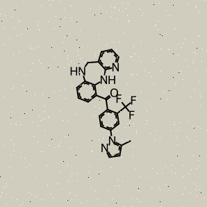 Cc1ccnn1-c1ccc(C(=O)c2cccc3c2Nc2ncccc2CN3)c(C(F)(F)F)c1